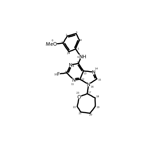 COc1cccc(Nc2nc(F)nc3c2ncn3C2CCCCCO2)c1